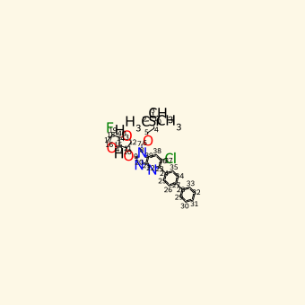 C[Si](C)(C)CCOCn1c(O[C@@H]2CO[C@H]3[C@@H]2OC[C@@H]3F)nc2nc(-c3ccc(-c4ccccc4)cc3)c(Cl)cc21